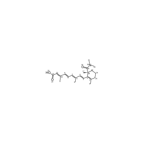 CC1=C(/C=C/C(C)=C/C=C/C(C)=C/C(=O)O)[C@](C)(C(=O)N(C)C)CCC1